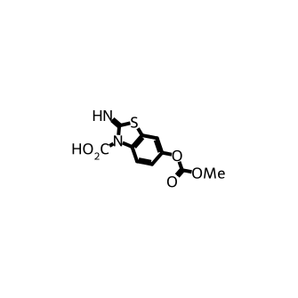 COC(=O)Oc1ccc2c(c1)sc(=N)n2C(=O)O